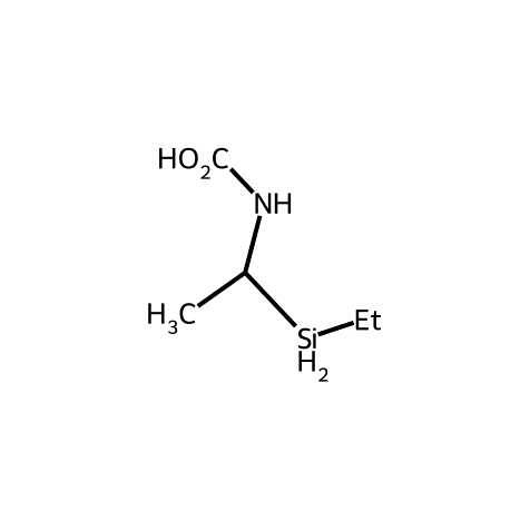 CC[SiH2]C(C)NC(=O)O